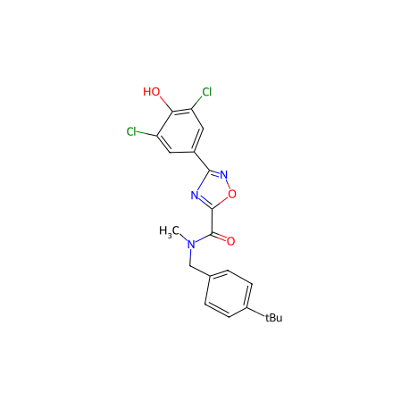 CN(Cc1ccc(C(C)(C)C)cc1)C(=O)c1nc(-c2cc(Cl)c(O)c(Cl)c2)no1